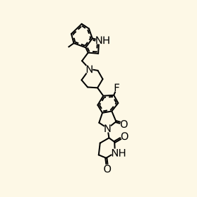 Cc1cccc2[nH]cc(CN3CCC(c4cc5c(cc4F)C(=O)N(C4CCC(=O)NC4=O)C5)CC3)c12